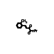 CCCC(=O)C(=O)C=Cc1ccccc1C